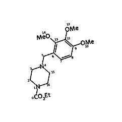 CCOC(=O)N1CCN(Cc2ccc(OC)c(OC)c2OC)CC1